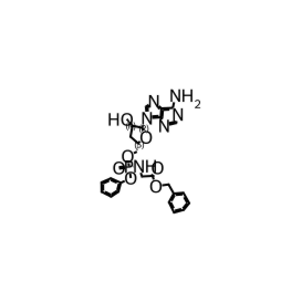 Nc1ncnc2c1ncn2[C@@H]1O[C@H](COP(=O)(NCC(=O)OCc2ccccc2)Oc2ccccc2)C[C@H]1O